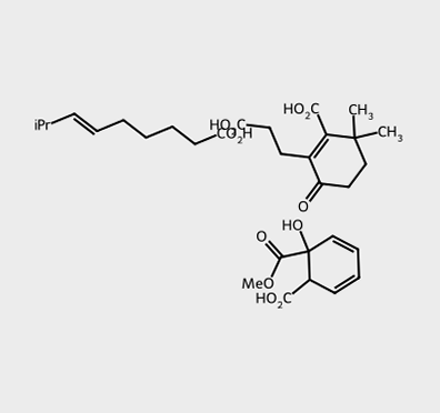 CC(C)C=CCCCCC(=O)O.CC1(C)CCC(=O)C(CCC(=O)O)=C1C(=O)O.COC(=O)C1(O)C=CC=CC1C(=O)O